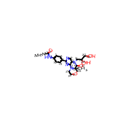 CNC(=O)Nc1ccc(-c2ncc3c(n2)N2CCOCC2(C)C(=O)N3CC(O)CO)cc1